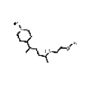 CC(CCC(C)C1CCN(C(C)C)CC1)NCCOC(C)C